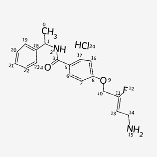 CC(NC(=O)c1ccc(OCC(F)=CCN)cc1)c1ccccc1.Cl